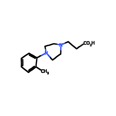 Cc1ccccc1N1CCN(CCC(=O)O)CC1